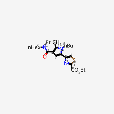 CCCCCCN(CC)C(=O)c1cc(-c2csc(C(=O)OCC)n2)n(CCCC)c1C